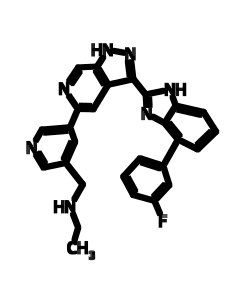 CCNCc1cncc(-c2cc3c(-c4nc5c(-c6cccc(F)c6)cccc5[nH]4)n[nH]c3cn2)c1